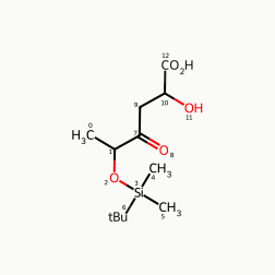 CC(O[Si](C)(C)C(C)(C)C)C(=O)CC(O)C(=O)O